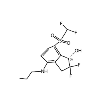 CCCNc1ccc(S(=O)(=O)C(F)F)c2c1CC(F)(F)[C@H]2O